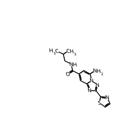 CC(C)CNC(=O)c1cc(N)n2nc(-c3nccs3)nc2c1